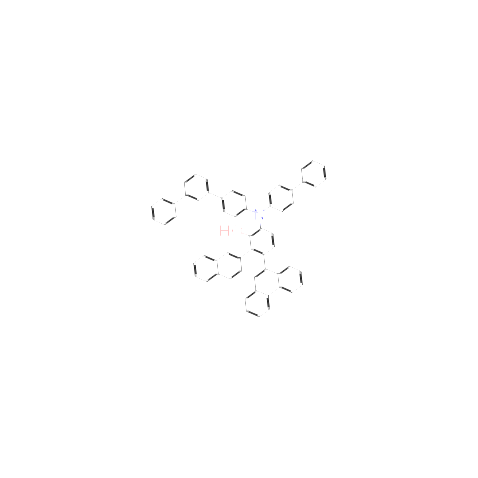 Oc1c(N(c2ccc(-c3ccccc3)cc2)c2ccc(-c3cccc(-c4ccccc4)c3)cc2)ccc(-c2cc3ccccc3c3ccccc23)c1-c1ccc2ccccc2c1